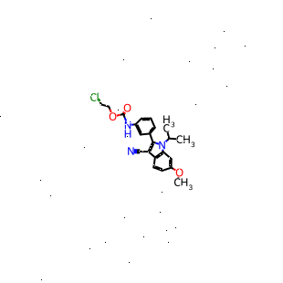 COc1ccc2c(C#N)c(-c3cccc(NC(=O)OCCCl)c3)n(C(C)C)c2c1